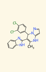 CC1=C(c2nc3ccccc3[nH]2)C(c2ccc(Cl)c(Cl)c2)n2nccc2N1